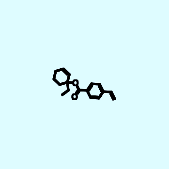 C=Cc1ccc(C(=O)OC2(CC)C=CCCC2)cc1